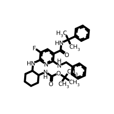 CC(C)(C)OC(=O)NC1CCCCC1Nc1nc(NCc2ccccc2)c(C(=O)NC(C)(C)c2ccccc2)cc1F